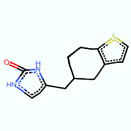 O=c1[nH]cc(CC2CCc3sccc3C2)[nH]1